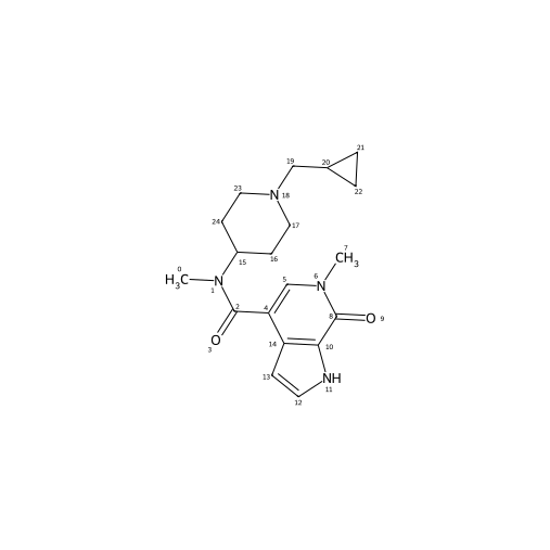 CN(C(=O)c1cn(C)c(=O)c2[nH]ccc12)C1CCN(CC2CC2)CC1